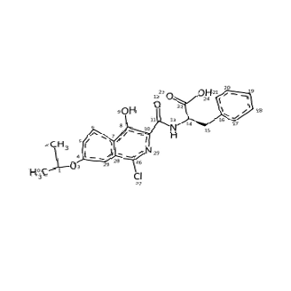 CC(C)Oc1ccc2c(O)c(C(=O)N[C@H](Cc3ccccc3)C(=O)O)nc(Cl)c2c1